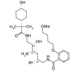 COCCCCOc1ccccc1C(=O)NC[C@@H](C[C@H](N)[C@@H](O)CNC(=O)C(C)(C)[C@H]1CC[C@@H](O)CC1)C(C)C